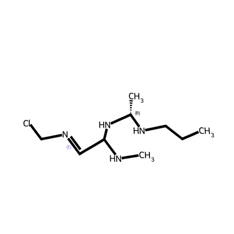 CCCN[C@@H](C)NC(/C=N/CCl)NC